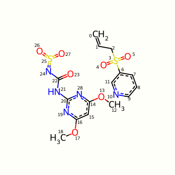 C=CCS(=O)(=O)c1cccnc1.COc1cc(OC)nc(NC(=O)N=S(=O)=O)n1